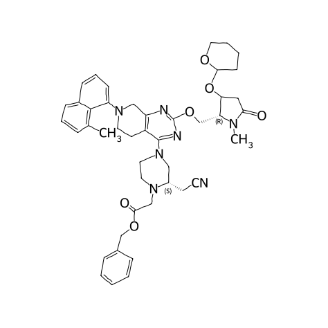 Cc1cccc2cccc(N3CCc4c(nc(OC[C@@H]5C(OC6CCCCO6)CC(=O)N5C)nc4N4CCN(CC(=O)OCc5ccccc5)[C@@H](CC#N)C4)C3)c12